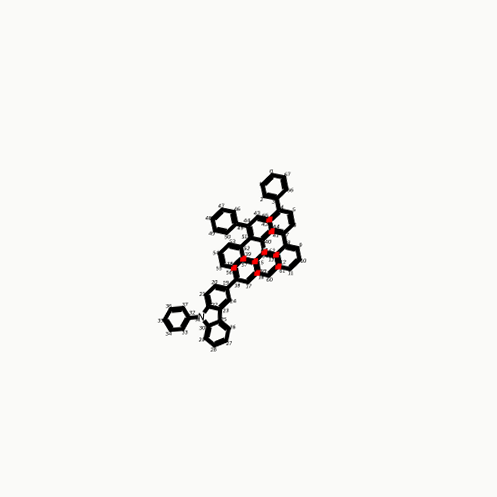 c1ccc(-c2ccc(-c3ccccc3N(c3ccc(-c4ccc5c(c4)c4ccccc4n5-c4ccccc4)cc3)c3cccc(-c4ccccc4)c3-c3ccccc3-c3ccccc3)cc2)cc1